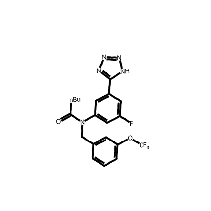 CCCCC(=O)N(Cc1cccc(OC(F)(F)F)c1)c1cc(F)cc(-c2nnn[nH]2)c1